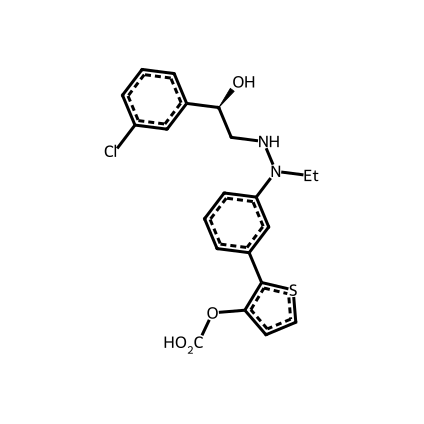 CCN(NC[C@H](O)c1cccc(Cl)c1)c1cccc(-c2sccc2OC(=O)O)c1